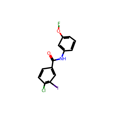 O=C(Nc1cccc(OF)c1)c1ccc(Cl)c(I)c1